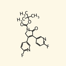 CC(C)(C)OC(=O)N1CC(c2ccc(F)nc2)=C(c2ccc(F)nc2)C1=O